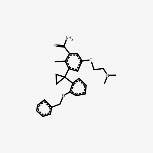 Cc1c(C(N)=O)cc(OCCN(C)C)cc1C1(c2ccccc2OCc2ccccc2)CC1